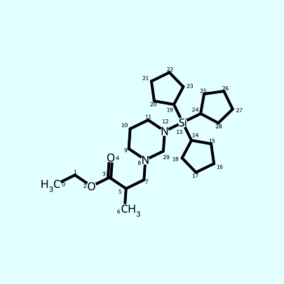 CCOC(=O)C(C)CN1CCCN([Si](C2CCCC2)(C2CCCC2)C2CCCC2)C1